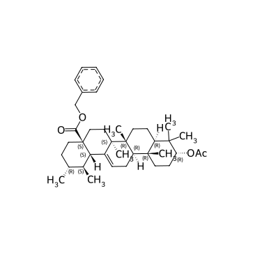 CC(=O)O[C@@H]1CC[C@]2(C)[C@H]3CC=C4[C@@H]5[C@@H](C)[C@H](C)CC[C@]5(C(=O)OCc5ccccc5)CC[C@@]4(C)[C@]3(C)CC[C@H]2C1(C)C